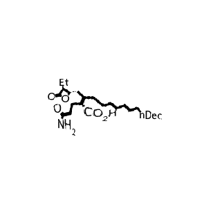 CCCCCCCCCCCCCCCCCC(C[C@@H]1OC(=O)[C@H]1CC)[C@H](CCC(N)=O)C(=O)O